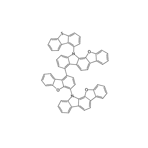 c1ccc2c(c1)oc1c2ccc2c3ccccc3n(-c3ccc(-c4cccc5c4c4ccc6c7ccccc7oc6c4n5-c4cccc5sc6ccccc6c45)c4c3oc3ccccc34)c21